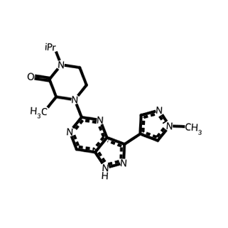 CC(C)N1CCN(c2ncc3[nH]nc(-c4cnn(C)c4)c3n2)C(C)C1=O